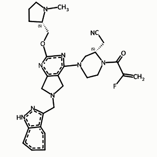 C=C(F)C(=O)N1CCN(c2nc(OC[C@@H]3CCCN3C)nc3c2CN(Cc2n[nH]c4ccccc24)C3)C[C@@H]1CC#N